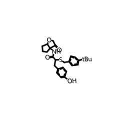 CC(C)(C)c1ccc(CSC(Cc2ccc(O)cc2)C(=O)NC23CCCC2OCC3=O)cc1